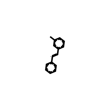 Cc1cccc(C=[C]c2ccccc2)c1